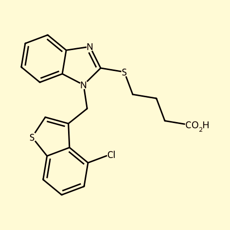 O=C(O)CCCSc1nc2ccccc2n1Cc1csc2cccc(Cl)c12